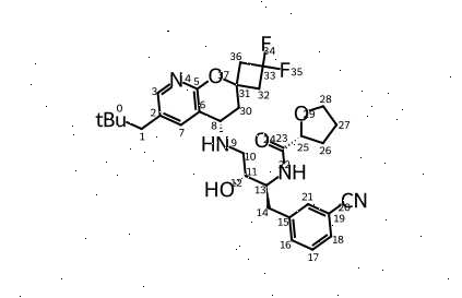 CC(C)(C)Cc1cnc2c(c1)[C@@H](NC[C@@H](O)[C@H](Cc1cccc(C#N)c1)NC(=O)[C@H]1CCCO1)CC1(CC(F)(F)C1)O2